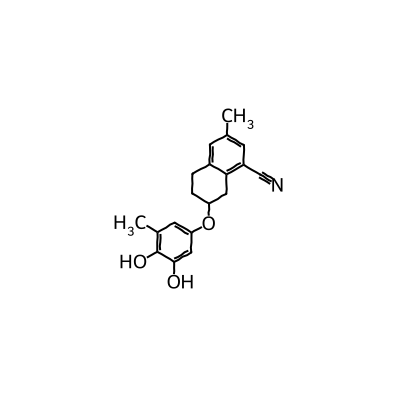 Cc1cc(C#N)c2c(c1)CCC(Oc1cc(C)c(O)c(O)c1)C2